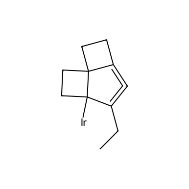 CCC1=C=C2CCC23CC[C]13[Ir]